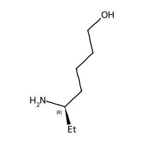 CC[C@@H](N)CCCCO